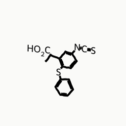 CC(C(=O)O)c1cc(N=C=S)ccc1Sc1ccccc1